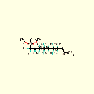 CC(C)O[Si](C)(OC(C)C)C(F)(F)C(F)(F)C(F)(F)C(F)(F)C(F)(F)C(F)(F)C(F)(F)CCC(F)(F)F